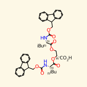 CC[C@H](C)[C@H](NC(=O)OCC1c2ccccc2-c2ccccc21)C(=O)OC[C@@H](OC(=O)[C@@H](NC(=O)OCC1c2ccccc2-c2ccccc21)[C@@H](C)CC)C(=O)O